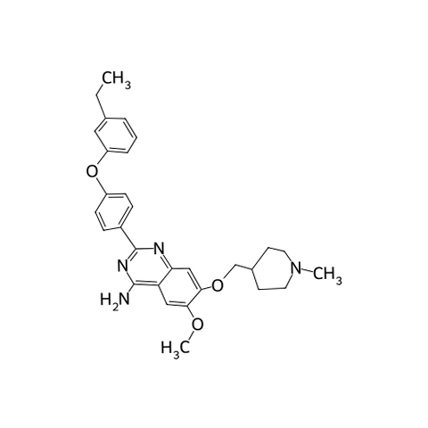 CCc1cccc(Oc2ccc(-c3nc(N)c4cc(OC)c(OCC5CCN(C)CC5)cc4n3)cc2)c1